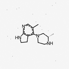 Cc1cnc2c(c1N1CCN[C@@H](C)C1)CCN2